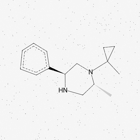 C[C@@H]1CN[C@@H](c2ccccc2)CN1C1(C)CC1